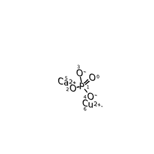 O=P([O-])([O-])[O-].[Ca+2].[Cu+2]